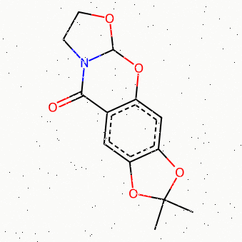 CC1(C)Oc2cc3c(cc2O1)C(=O)N1CCOC1O3